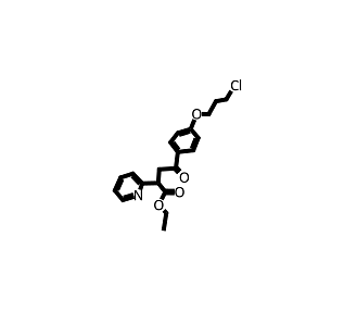 CCOC(=O)C(CC(=O)c1ccc(OCCCCl)cc1)c1ccccn1